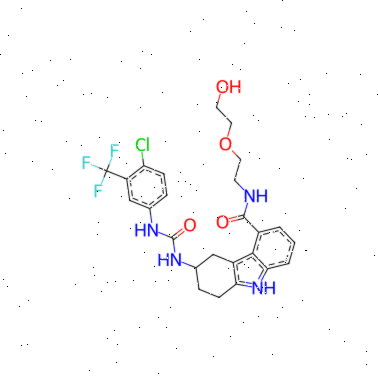 O=C(Nc1ccc(Cl)c(C(F)(F)F)c1)NC1CCc2[nH]c3cccc(C(=O)NCCOCCO)c3c2C1